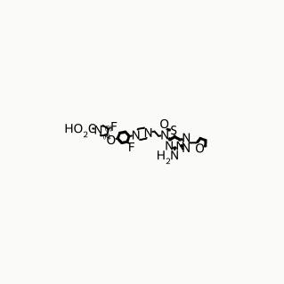 Nc1nc2c(sc(=O)n2CCN2CCN(c3ccc(O[C@@H]4CN(C(=O)O)C[C@H]4F)cc3F)CC2)c2nc(-c3ccco3)nn12